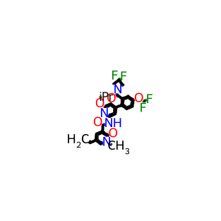 C=Cc1cc(C(=O)Nc2cc(-c3ccc(OC(F)F)cc3C(=O)N3CC(F)(F)C3)cc(OC(C)C)n2)c(=O)n(C)c1